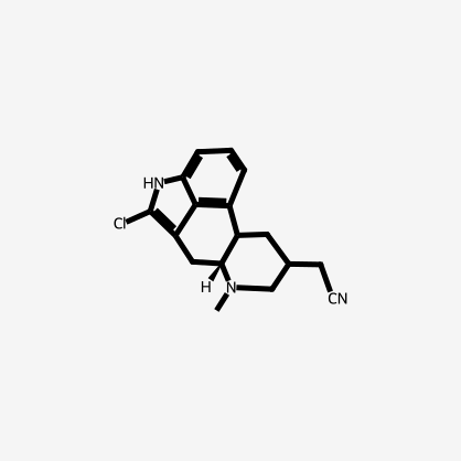 CN1CC(CC#N)CC2c3cccc4[nH]c(Cl)c(c34)C[C@H]21